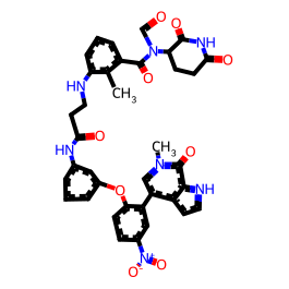 Cc1c(NCCC(=O)Nc2cccc(Oc3ccc([N+](=O)[O-])cc3-c3cn(C)c(=O)c4[nH]ccc34)c2)cccc1C(=O)N(C=O)C1CCC(=O)NC1=O